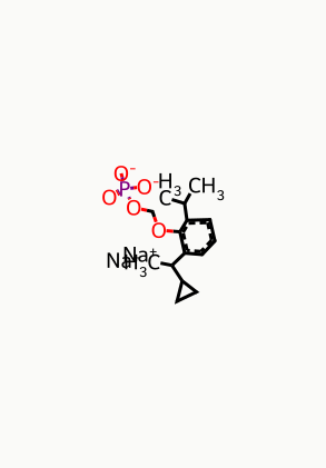 CC(C)c1cccc(C(C)C2CC2)c1OCOP(=O)([O-])[O-].[Na+].[Na+]